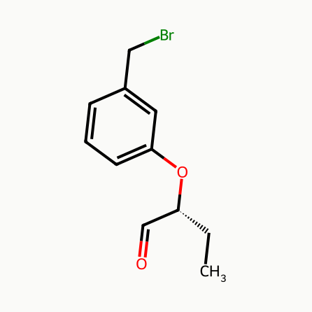 CC[C@H](C=O)Oc1cccc(CBr)c1